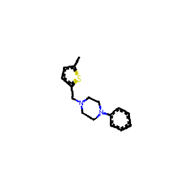 Cc1ccc(CN2CCN(c3ccccc3)CC2)s1